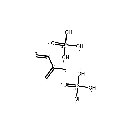 C=CC(=C)C.O=P(O)(O)O.O=P(O)(O)O